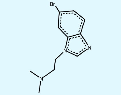 CN(C)CCn1cnc2ccc(Br)cc21